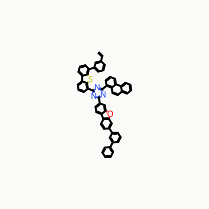 C=Cc1cccc(-c2cccc3c2sc2c(-c4nc(-c5ccc6c(c5)oc5cc(-c7cccc(-c8ccccc8)c7)ccc56)nc(-c5cccc6c5ccc5ccccc56)n4)cccc23)c1